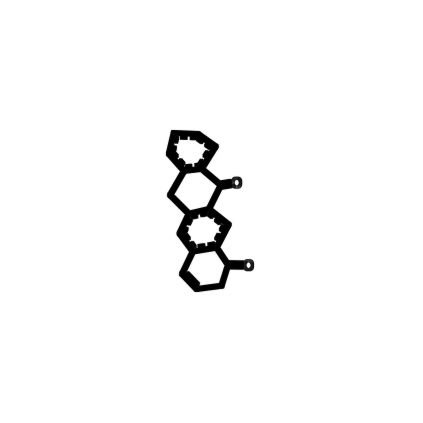 O=C1CC=Cc2cc3c(cc21)C(=O)c1ccccc1C3